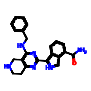 NC(=O)c1cccc2c(-c3nc4c(c(NCc5ccccc5)n3)CNCC4)[nH]cc12